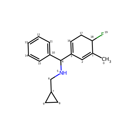 CC1=CC(C(NCC2CC2)c2ccccc2)=CCC1F